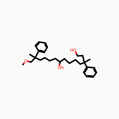 COCC(C)(CCCCC(O)CCCCC(C)(CCO)c1ccccc1)c1ccccc1